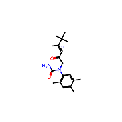 C/C(=C\C(=O)CN(C(N)=O)c1cc(C)c(C)cc1C)C(C)(C)C